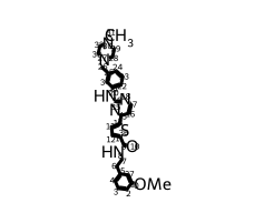 COc1cccc(CCNC(=O)c2ccc(-c3ccnc(Nc4cccc(CN5CCN(C)CC5)c4)n3)s2)c1